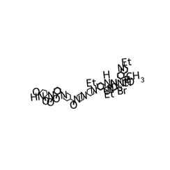 CCOc1cc(N2CCC(N3CCN(C(=O)C4CCN(c5cccc6c5oc(=O)n6C5CCC(=O)NC5=O)CC4)CC3)CC2)c(CC)cc1Nc1ncc(Br)c(Nc2ccc3nc(CC)ccc3c2P(C)(C)=O)n1